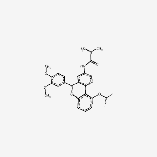 COc1ccc(C2Oc3cccc(OC(F)F)c3-c3ccc(NC(=O)N(C)C)cc32)cc1OC